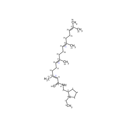 CCN1CCCC1CNC(=O)/C=C(\C)CC/C=C(\C)CC/C=C(\C)CCC=C(C)C